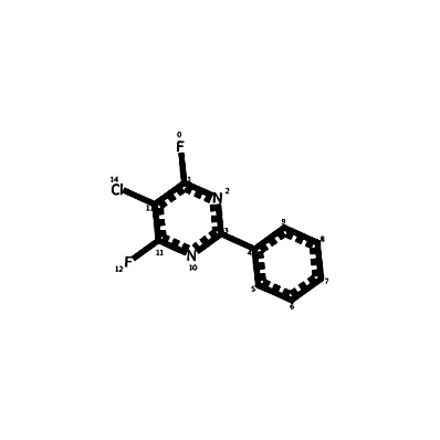 Fc1nc(-c2ccccc2)nc(F)c1Cl